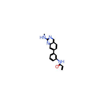 C=CC(=O)Nc1cccc(-c2ccc3cnc(NC)nc3c2)c1